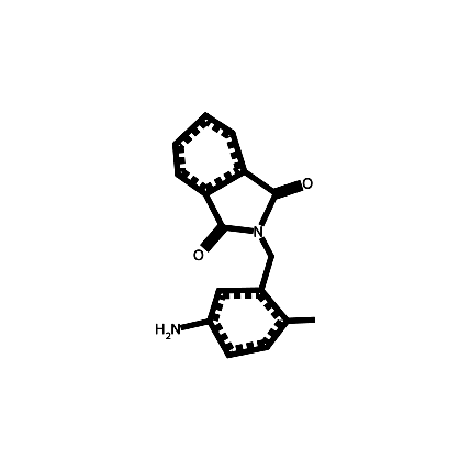 Cc1ccc(N)cc1CN1C(=O)c2ccccc2C1=O